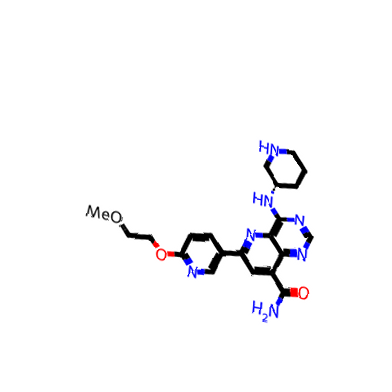 COCCOc1ccc(-c2cc(C(N)=O)c3ncnc(N[C@H]4CCCNC4)c3n2)cn1